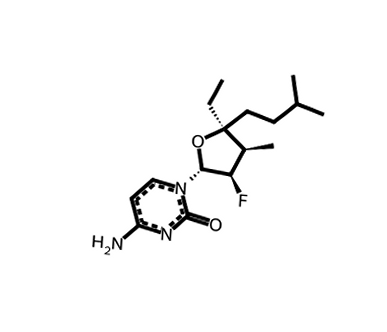 CC[C@@]1(CCC(C)C)O[C@@H](n2ccc(N)nc2=O)[C@H](F)[C@@H]1C